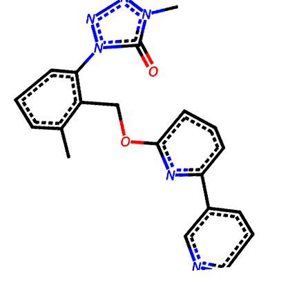 Cc1cccc(-n2nnn(C)c2=O)c1COc1cccc(-c2cccnc2)n1